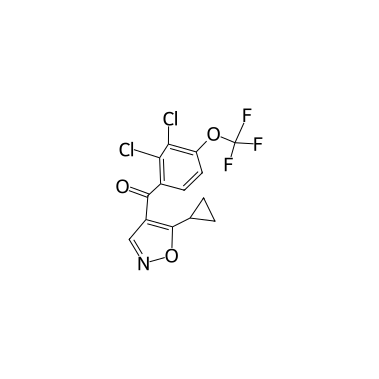 O=C(c1cnoc1C1CC1)c1ccc(OC(F)(F)F)c(Cl)c1Cl